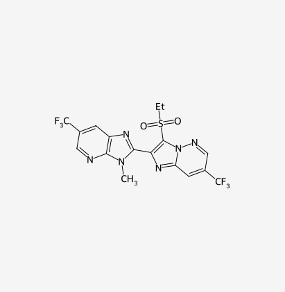 CCS(=O)(=O)c1c(-c2nc3cc(C(F)(F)F)cnc3n2C)nc2cc(C(F)(F)F)cnn12